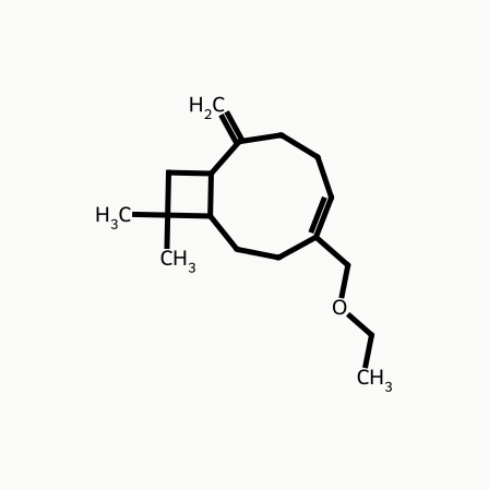 C=C1CCC=C(COCC)CCC2C1CC2(C)C